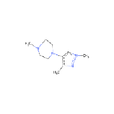 Cc1nn(C)cc1N1CCN(C)CC1